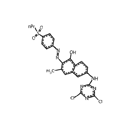 CCCS(=O)(=O)c1ccc(/N=N/c2c(C)cc3cc(Nc4nc(Cl)nc(Cl)n4)ccc3c2O)cc1